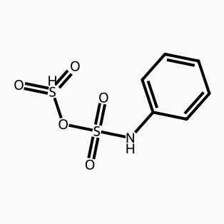 O=[SH](=O)OS(=O)(=O)Nc1ccccc1